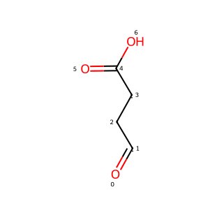 O=[C]C[CH]C(=O)O